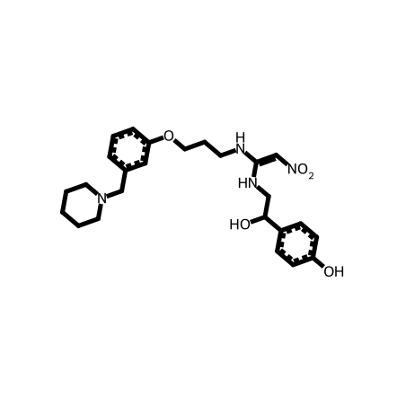 O=[N+]([O-])C=C(NCCCOc1cccc(CN2CCCCC2)c1)NCC(O)c1ccc(O)cc1